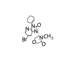 CN1C(=O)COC[C@@H]1Cn1c(=O)n(C2=CCCCC2)c2ncc(Br)cc21